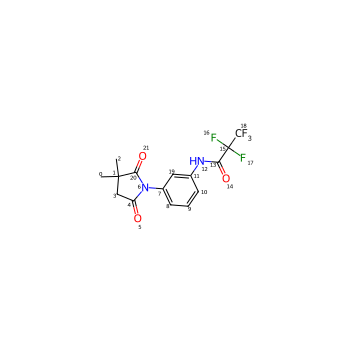 CC1(C)CC(=O)N(c2cccc(NC(=O)C(F)(F)C(F)(F)F)c2)C1=O